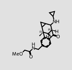 COCC(=O)NCc1ccc2c(c1)[C@]1(C)C3CC3C(NC3CC3)[C@H](C2=O)[C@@H]1C